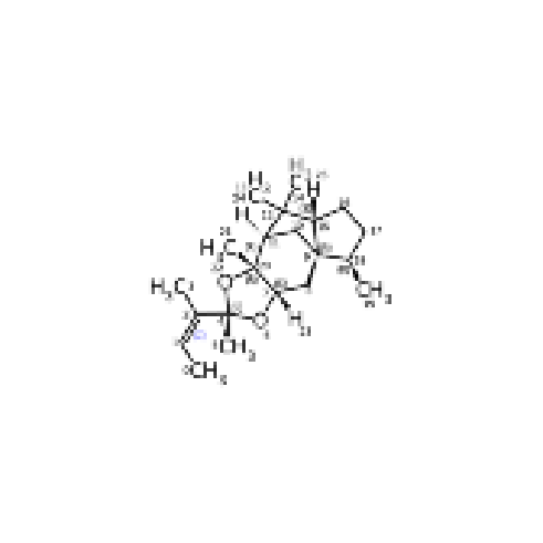 C/C=C(/C)[C@@]1(C)O[C@H]2C[C@@]34C[C@H](C(C)(C)[C@@H]3CC[C@H]4C)[C@@]2(C)O1